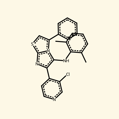 Cc1cccc(C)c1Nc1c(-c2ccncc2Cl)nc2scc(-c3ccccc3)n12